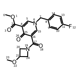 COC(=O)c1cn(Cc2ccc(F)cc2)cc(C(=O)N2CC(OC)C2)c1=O